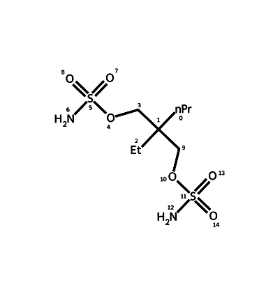 CCCC(CC)(COS(N)(=O)=O)COS(N)(=O)=O